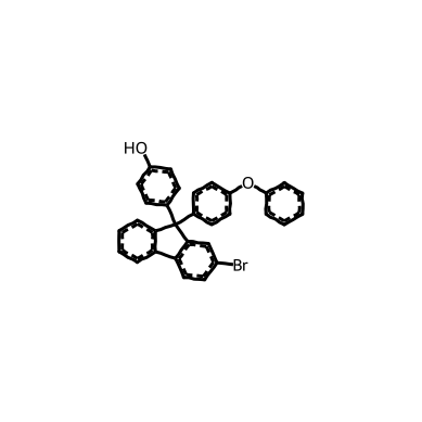 Oc1ccc(C2(c3ccc(Oc4ccccc4)cc3)c3ccccc3-c3ccc(Br)cc32)cc1